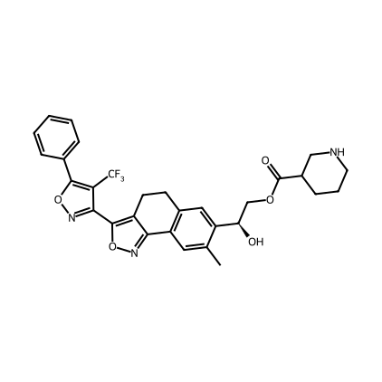 Cc1cc2c(cc1[C@H](O)COC(=O)C1CCCNC1)CCc1c-2noc1-c1noc(-c2ccccc2)c1C(F)(F)F